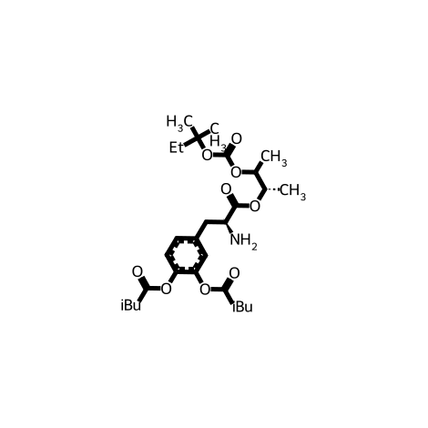 CCC(C)C(=O)Oc1ccc(C[C@H](N)C(=O)O[C@@H](C)C(C)OC(=O)OC(C)(C)CC)cc1OC(=O)C(C)CC